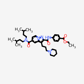 CCOC(=O)c1ccc(NC(=O)c2nn3ccc(C(=O)N(CCC(C)C)CCC(C)C)cc3c2CCCN2CCCCC2)cc1